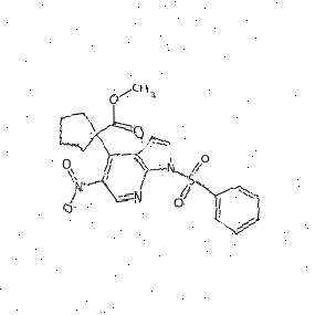 COC(=O)C1(c2c([N+](=O)[O-])cnc3c2ccn3S(=O)(=O)c2ccccc2)CCCC1